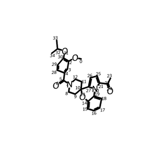 COc1cc(C(=O)N2CCC3(CC2)Oc2ccccc2-n2c(C(C)=O)ccc23)ccc1OC(C)C